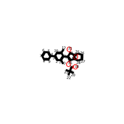 Cc1cc(-c2ccccc2)cc(C)c1C1=C(OC(=O)C(C)(C)C)c2c(c3ccc2o3)C1=O